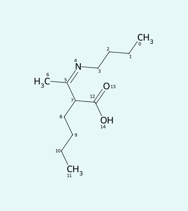 CCCCN=C(C)C(CCCC)C(=O)O